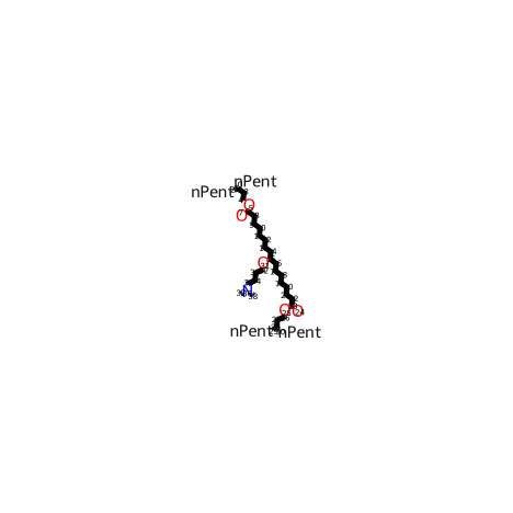 CCCCCC(CCCCC)CCOC(=O)CCCCCCCC(CCCCCCCC(=O)OCCC(CCCCC)CCCCC)OCCCCN(C)C